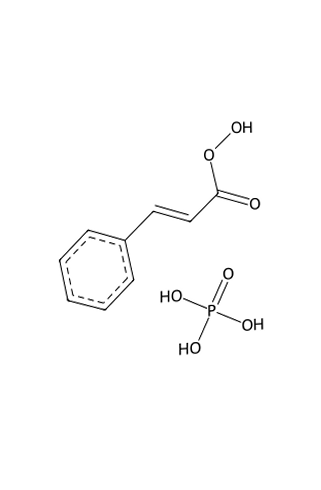 O=C(C=Cc1ccccc1)OO.O=P(O)(O)O